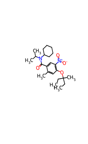 CCC(C)(CC)Oc1cc(C)c(C(=O)N(C(C)C)C2CCCCC2)cc1[N+](=O)[O-]